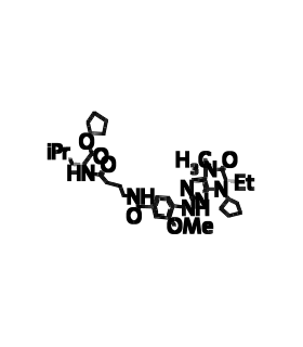 CC[C@H]1C(=O)N(C)c2cnc(Nc3ccc(C(=O)NCCCC(=O)N[C@H](CC(C)C)C(=O)OC4CCCC4)cc3OC)nc2N1C1CCCC1